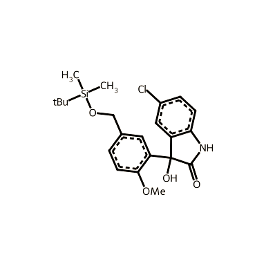 COc1ccc(CO[Si](C)(C)C(C)(C)C)cc1C1(O)C(=O)Nc2ccc(Cl)cc21